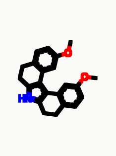 COc1ccc2c(c1)-c1c([nH]c3c1-c1cc(OC)ccc1CC3)CC2